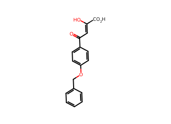 O=C(O)/C(O)=C/C(=O)c1ccc(OCc2ccccc2)cc1